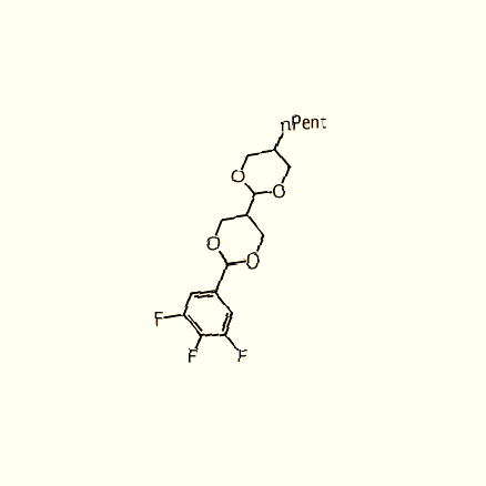 CCCCCC1COC(C2COC(c3cc(F)c(F)c(F)c3)OC2)OC1